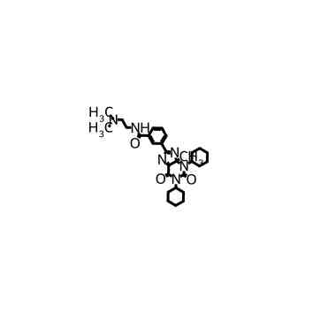 CN(C)CCNC(=O)c1cccc(C2=NC3(C)C(=N2)C(=O)N(C2CCCCC2)C(=O)N3C2CCCCC2)c1